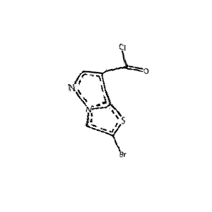 O=C(Cl)c1cnn2cc(Br)sc12